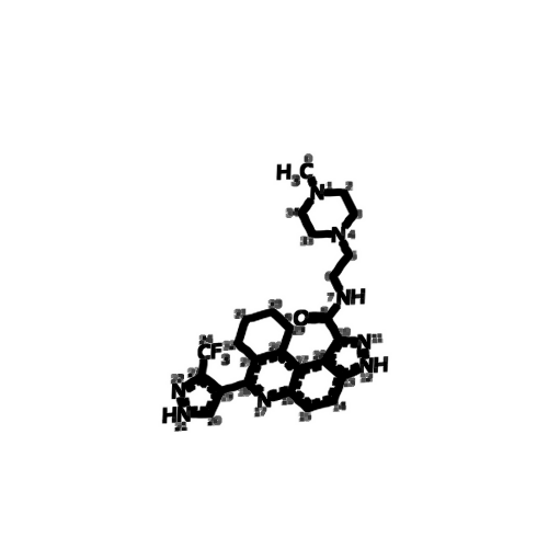 CN1CCN(CCNC(=O)c2n[nH]c3ccc4nc(-c5c[nH]nc5C(F)(F)F)c5c(c4c23)CCCC5)CC1